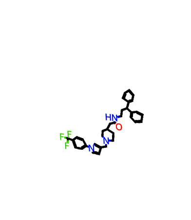 O=C(CC1CCN(Cc2ccn(-c3ccc(C(F)(F)F)cc3)c2)CC1)NCCC(c1ccccc1)c1ccccc1